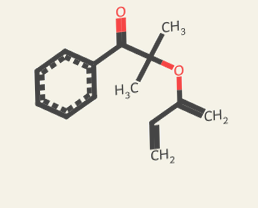 C=CC(=C)OC(C)(C)C(=O)c1ccccc1